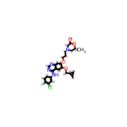 C[C@@H]1CN(CCCOc2cc3ncnc(Nc4ccc(F)c(Cl)c4)c3cc2OCC2CC2)CC(=O)O1